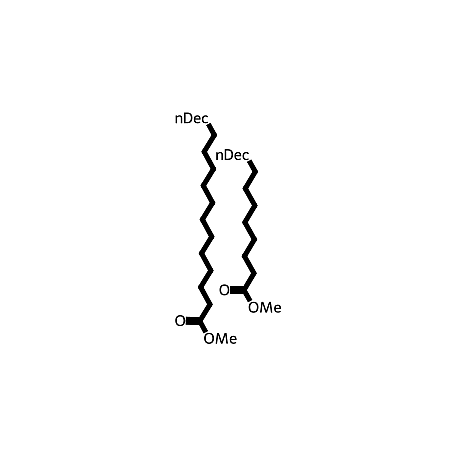 CCCCCCCCCCCCCCCCCC(=O)OC.CCCCCCCCCCCCCCCCCCCCCC(=O)OC